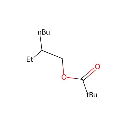 CCCCC(CC)COC(=O)C(C)(C)C